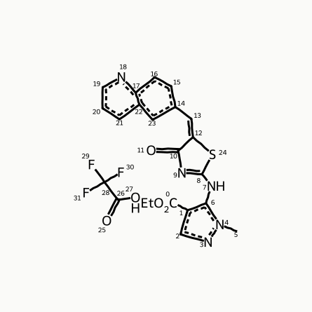 CCOC(=O)c1cnn(C)c1NC1=NC(=O)C(=Cc2ccc3ncccc3c2)S1.O=C(O)C(F)(F)F